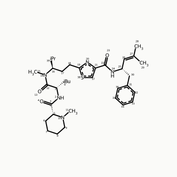 CCC(C)[C@H](NC(=O)[C@H]1CCCCN1C)C(=O)N(C)[C@H](CCc1nc(C(=O)N[C@H](C=C(C)C)Cc2ccccc2)cs1)C(C)C